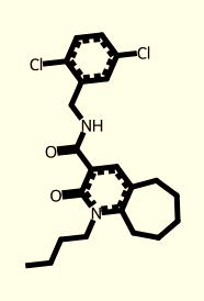 CCCCn1c2c(cc(C(=O)NCc3cc(Cl)ccc3Cl)c1=O)CCCCC2